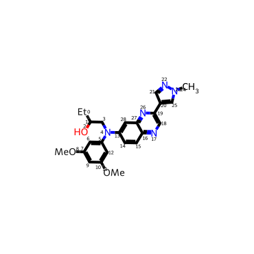 CCC(O)CN(c1cc(OC)cc(OC)c1)c1ccc2ncc(-c3cnn(C)c3)nc2c1